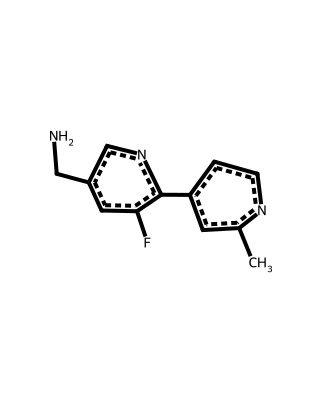 Cc1cc(-c2ncc(CN)cc2F)ccn1